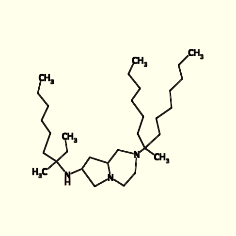 CCCCCCCC(C)(CCCCCC)N1CCN2CC(NC(C)(CC)CCCCCC)CC2C1